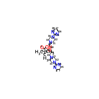 CC(C)(C)C(=O)O.c1cnc(N2CCN(CCOCCN3CCN(c4ncccn4)CC3)CC2)nc1